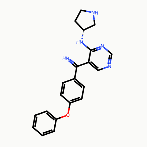 N=C(c1ccc(Oc2ccccc2)cc1)c1cncnc1N[C@@H]1CCNC1